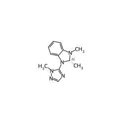 C[C@H]1N(C)c2ccccc2N1c1ncnn1C